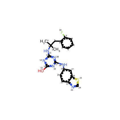 CC(C)(Cc1ccccc1F)Nc1nc(O)nc(Nc2ccc3ncsc3c2)n1